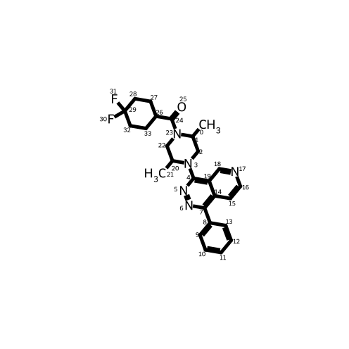 CC1CN(c2nnc(-c3ccccc3)c3ccncc23)C(C)CN1C(=O)C1CCC(F)(F)CC1